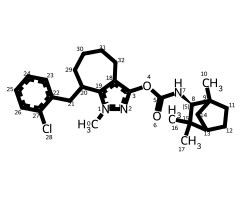 Cn1nc(OC(=O)N[C@H]2C3(C)CCC(C3)C2(C)C)c2c1C(Cc1ccccc1Cl)CCCC2